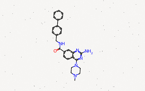 CN1CCN(c2nc(N)nc3cc(C(=O)NCc4ccc(-c5ccccc5)cc4)ccc23)CC1